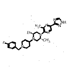 CC[C@H]1CN(c2ncc(-c3nc[nH]n3)nc2C)[C@H](C)CN1C1CCN(Cc2ccc(F)cc2)CC1